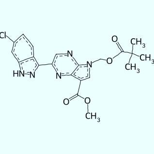 COC(=O)c1cn(COC(=O)C(C)(C)C)c2ncc(-c3n[nH]c4cc(Cl)ccc34)nc12